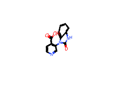 O=C(O)c1ccncc1-n1c(=O)[nH]c2ccccc21